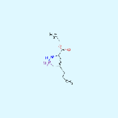 CCCC(=CC(N)C(=O)OCC)CP